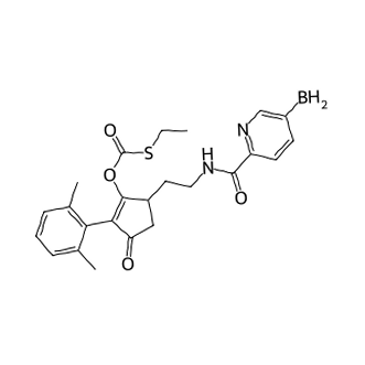 Bc1ccc(C(=O)NCCC2CC(=O)C(c3c(C)cccc3C)=C2OC(=O)SCC)nc1